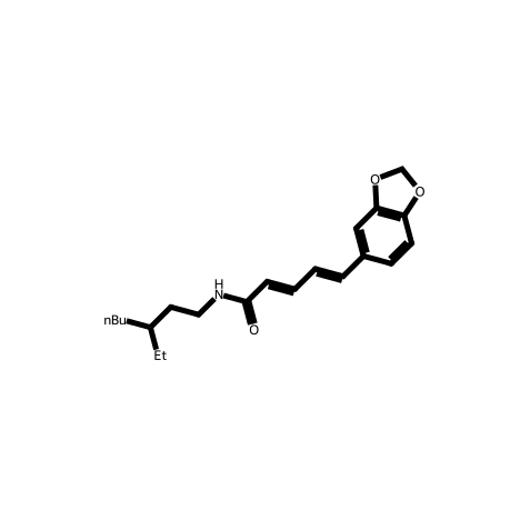 CCCCC(CC)CCNC(=O)C=CC=Cc1ccc2c(c1)OCO2